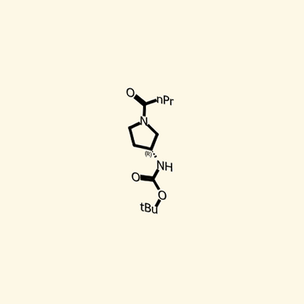 CCCC(=O)N1CC[C@@H](NC(=O)OC(C)(C)C)C1